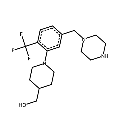 OCC1CCN(c2cc(CN3CCNCC3)ccc2C(F)(F)F)CC1